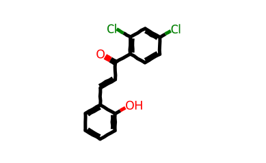 O=C(C=Cc1ccccc1O)c1ccc(Cl)cc1Cl